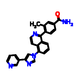 Cc1cc(C(N)=O)ccc1-c1nccc2c(-n3cnc(-c4cccnc4)c3)cccc12